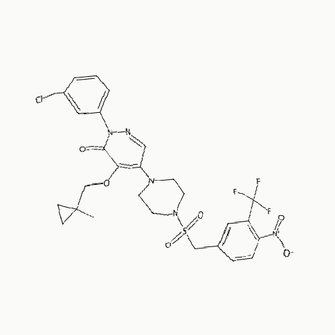 CC1(COc2c(N3CCN(S(=O)(=O)Cc4ccc([N+](=O)[O-])c(C(F)(F)F)c4)CC3)cnn(-c3cccc(Cl)c3)c2=O)CC1